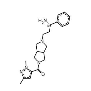 Cc1cc(C(=O)N2CC3CN(CC[C@H](N)c4ccccc4)CC3C2)n(C)n1